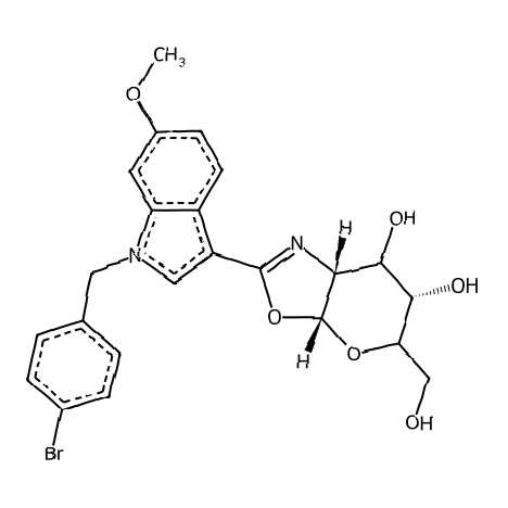 COc1ccc2c(C3=N[C@@H]4C(O)[C@H](O)C(CO)O[C@@H]4O3)cn(Cc3ccc(Br)cc3)c2c1